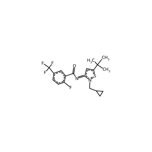 CC(C)(C)c1c/c(=N\C(=O)c2cc(C(F)(F)F)ccc2F)n(CC2CC2)s1